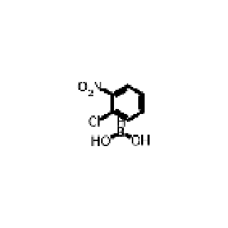 O=[N+]([O-])c1ccccc1Cl.OBO